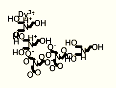 O=C([O-])CN(CC(=O)[O-])CC(=O)[O-].O=C([O-])CN(CC(=O)[O-])CC(=O)[O-].OCC[NH+](CCO)CCO.OCC[NH+](CCO)CCO.OCC[NH+](CCO)CCO.[Dy+3]